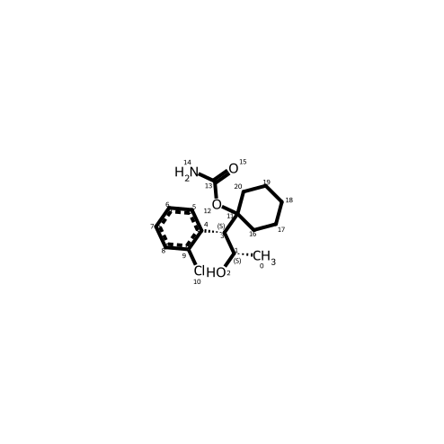 C[C@H](O)[C@H](c1ccccc1Cl)C1(OC(N)=O)CCCCC1